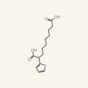 O=C(O)CCCCCCCC(C(=O)O)c1cccs1